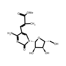 COC(=O)/C(C)=C/c1cn([C@@H]2O[C@H](CO)[C@@H](O)[C@H]2O)c(=O)nc1N